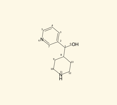 OC(c1cccnc1)C1CCNCC1